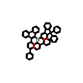 c1ccc(-c2ccc(-c3c(N(c4ccc5c(c4)-c4ccccc4C5(c4ccccc4)c4ccccc4)c4ccccc4-c4ccccc4)c4ccccc4c4ccccc34)cc2)cc1